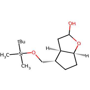 CC(C)(C)[Si](C)(C)OC[C@H]1CC[C@@H]2OC(O)C[C@H]12